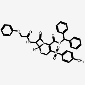 Cc1ccc(S(=O)(=O)C2=C(C(=O)OC(c3ccccc3)c3ccccc3)N3C(=O)C(NC(=O)COc4ccccc4)[C@H]3SC2)cc1